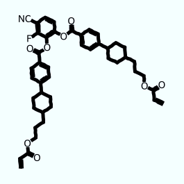 C=CC(=O)OCCCC1CCC(c2ccc(C(=O)Oc3ccc(C#N)c(F)c3OC(=O)c3ccc(C4CCC(CCCOC(=O)C=C)CC4)cc3)cc2)CC1